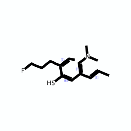 C\C=C(CCCF)/C(S)=C\C(\C=C\C)=C\N(C)C